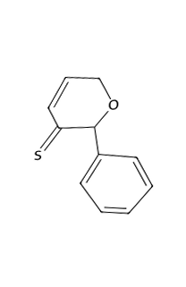 S=C1C=CCOC1c1ccccc1